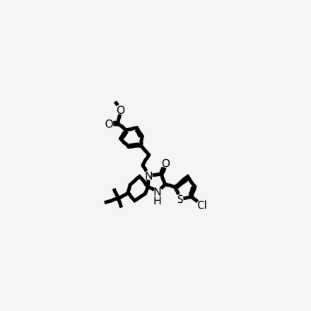 COC(=O)c1ccc(CCN2C(=O)C(c3ccc(Cl)s3)NC23CCC(C(C)(C)C)CC3)cc1